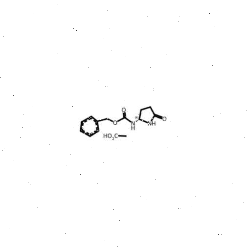 CC(=O)O.O=C1CC[C@@H](NC(=O)OCc2ccccc2)N1